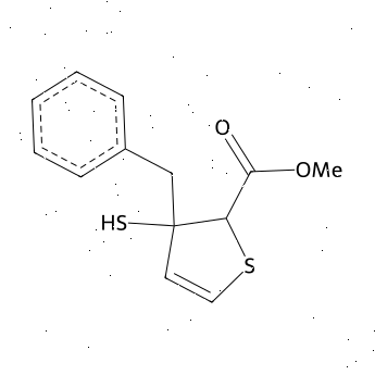 COC(=O)C1SC=CC1(S)Cc1ccccc1